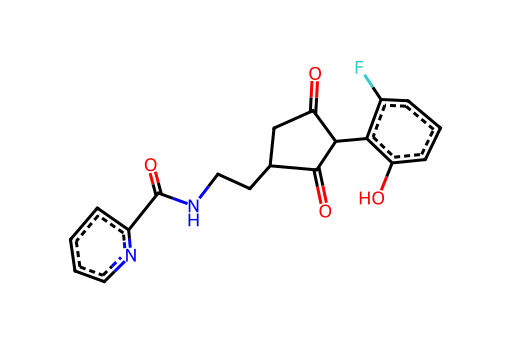 O=C(NCCC1CC(=O)C(c2c(O)cccc2F)C1=O)c1ccccn1